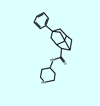 O=C(NC1CCNCC1)C1C2CC3CC1CC(c1ccccc1)(C3)C2